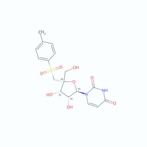 Cc1ccc(S(=O)(=O)C[C@]2(CO)O[C@@H](n3ccc(=O)[nH]c3=O)[C@H](O)[C@@H]2O)cc1